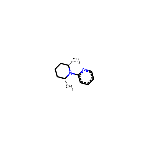 C[C@@H]1CCC[C@H](C)N1c1ccccn1